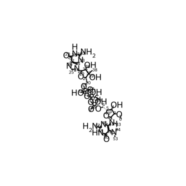 COC1C(O)[C@@H](COP(=O)(O)OP(O)(=S)OP(=O)(O)OC[C@H]2O[C@@H](n3cnc4c(=O)[nH]c(N)nc43)C(O)C2(C)O)O[C@H]1N(I)c1nc(N)[nH]c(=O)c1N(C)C